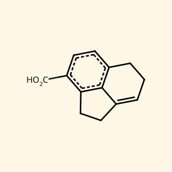 O=C(O)c1ccc2c3c1CCC3=CCC2